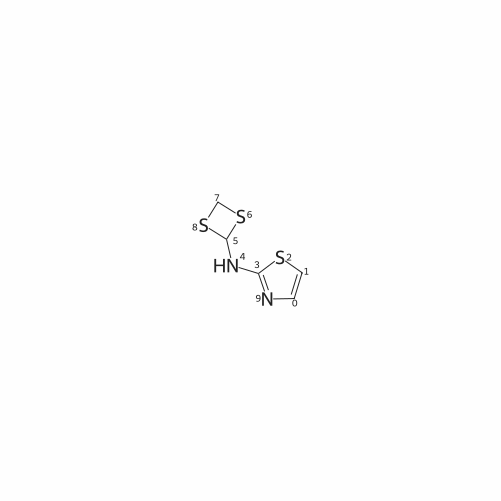 c1csc(NC2SCS2)n1